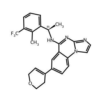 Cc1c([C@@H](C)Nc2nc3nccn3c3ccc(C4=CCOCC4)cc23)cccc1C(F)(F)F